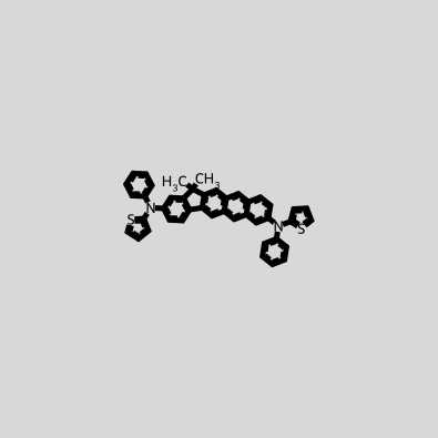 CC1(C)c2cc(N(c3ccccc3)c3cccs3)ccc2-c2cc3cc4cc(N(c5ccccc5)c5cccs5)ccc4cc3cc21